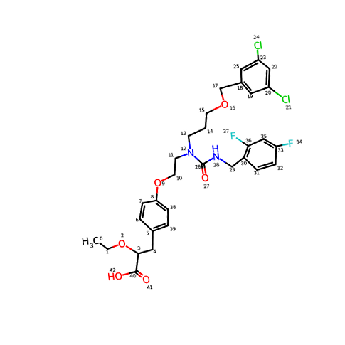 CCOC(Cc1ccc(OCCN(CCCOCc2cc(Cl)cc(Cl)c2)C(=O)NCc2ccc(F)cc2F)cc1)C(=O)O